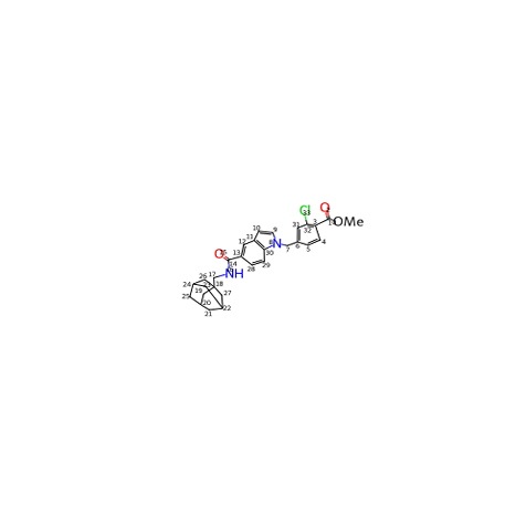 COC(=O)c1ccc(Cn2ccc3cc(C(=O)NCC45CC6CC(CC(C6)C4)C5)ccc32)cc1Cl